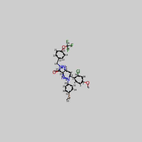 COc1ccc(-c2cc3nn(Cc4ccc(OC(F)(F)F)cc4)c(=O)c-3nn2-c2ccc(SC)cc2)c(Cl)c1